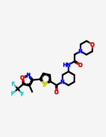 Cc1c(-c2ccc(C(=O)N3CCCC(NC(=O)CN4CCOCC4)C3)s2)noc1C(F)(F)F